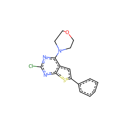 Clc1nc(N2CCOCC2)c2cc(-c3ccccc3)sc2n1